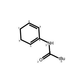 CC(C)(C)C(=O)NC1=CCCC=C1